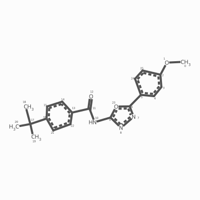 COc1ccc(-c2nnc(NC(=O)c3ccc(C(C)(C)C)cc3)o2)cc1